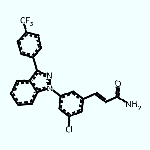 NC(=O)C=Cc1cc(Cl)cc(-n2nc(-c3ccc(C(F)(F)F)cc3)c3ccccc32)c1